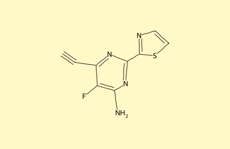 C#Cc1nc(-c2nccs2)nc(N)c1F